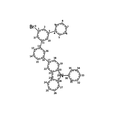 Brc1cc(-c2ccccc2)cc(-c2cccc(-c3ccc4c(c3)c3ccccc3n4-c3ccccc3)c2)c1